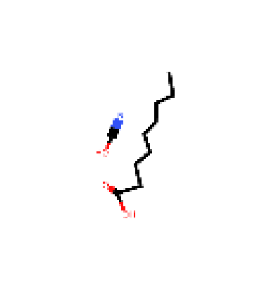 CCCCCCCCC(=O)O.N#CO